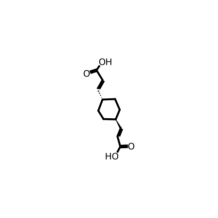 O=C(O)C=C[C@H]1CC[C@H](C=CC(=O)O)CC1